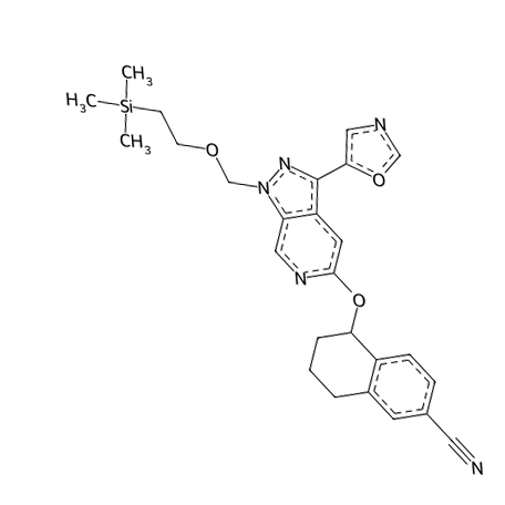 C[Si](C)(C)CCOCn1nc(-c2cnco2)c2cc(OC3CCCc4cc(C#N)ccc43)ncc21